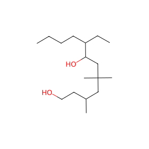 CCCCC(CC)C(O)CC(C)(C)CC(C)CCO